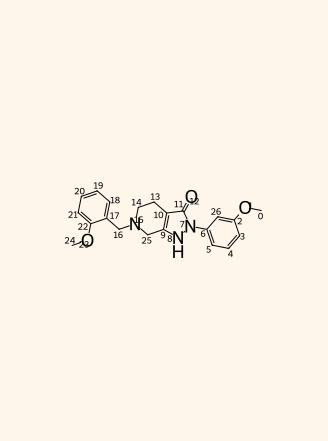 COc1cccc(-n2[nH]c3c(c2=O)CCN(Cc2ccccc2OC)C3)c1